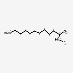 CCCCCCCCCCCCCCCCCC(C)NCC